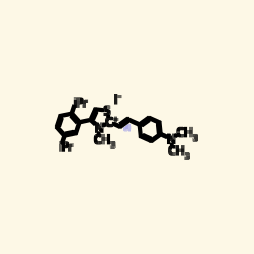 CC(C)c1ccc(C(C)C)c(-c2cs[c+](/C=C/c3ccc(N(C)C)cc3)n2C)c1.[I-]